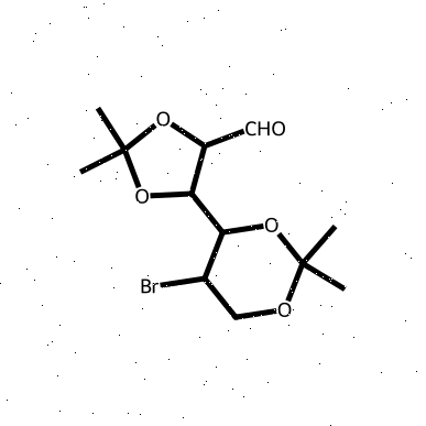 CC1(C)OCC(Br)C(C2OC(C)(C)OC2C=O)O1